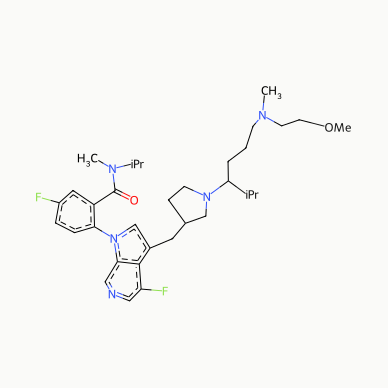 COCCN(C)CCCC(C(C)C)N1CCC(Cc2cn(-c3ccc(F)cc3C(=O)N(C)C(C)C)c3cncc(F)c23)C1